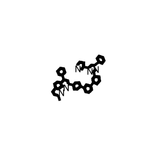 Cc1ccc2ccc3c(-c4ccccc4)cc(-c4ccc(-c5cccc(-c6cccc(-c7nc(-c8ccccc8)cc(-c8cccnc8)n7)c6)c5)cc4)nc3c2n1